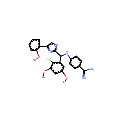 CCCOc1ccccc1-c1c[nH]c(C(Nc2ccc(C(=N)N)cc2)c2cc(OCC)cc(OC(C)C)c2F)n1